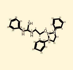 SC(NCCOP1N(c2ccccc2)CCN1c1ccccc1)Nc1ccccc1